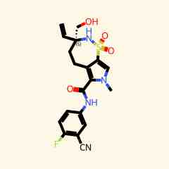 C=C[C@]1(CO)CCc2c(cn(C)c2C(=O)Nc2ccc(F)c(C#N)c2)S(=O)(=O)N1